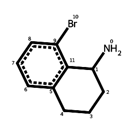 NC1CCCc2cccc(Br)c21